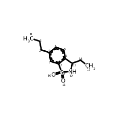 CCCc1ccc2c(c1)S(=O)(=O)NC2CC